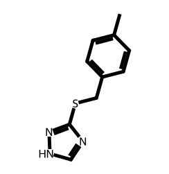 Cc1ccc(CSc2nc[nH]n2)cc1